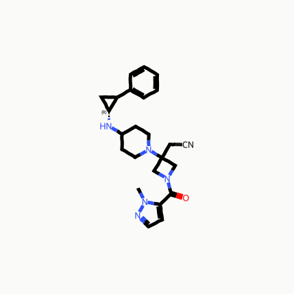 Cn1nccc1C(=O)N1CC(CC#N)(N2CCC(N[C@@H]3CC3c3ccccc3)CC2)C1